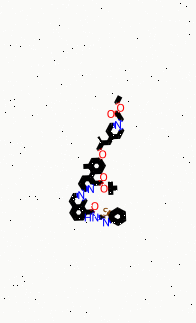 CCOC(=O)CN1CCC(C[C@H](C)COc2ccc(-c3ccc(N4CCc5cccc(C(=O)Nc6nc7ccccc7s6)c5C4)nc3C(=O)OC(C)(C)C)c(C)c2)CC1